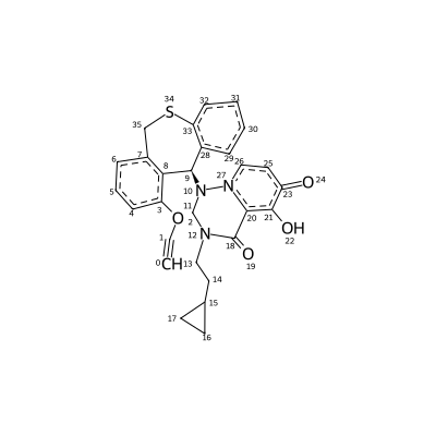 C#COc1cccc2c1[C@H](N1CN(CCC3CC3)C(=O)c3c(O)c(=O)ccn31)c1ccccc1SC2